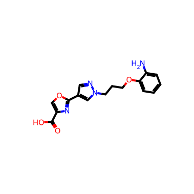 Nc1ccccc1OCCCn1cc(-c2nc(C(=O)O)co2)cn1